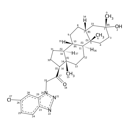 C[C@@]1(O)CC[C@@]2(C)[C@H](CC[C@@H]3[C@@H]2CC[C@]2(C)[C@@H](C(=O)Cn4nnc5ccc(Cl)cc54)CC[C@@H]32)C1